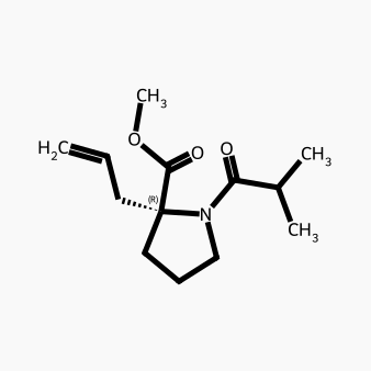 C=CC[C@@]1(C(=O)OC)CCCN1C(=O)C(C)C